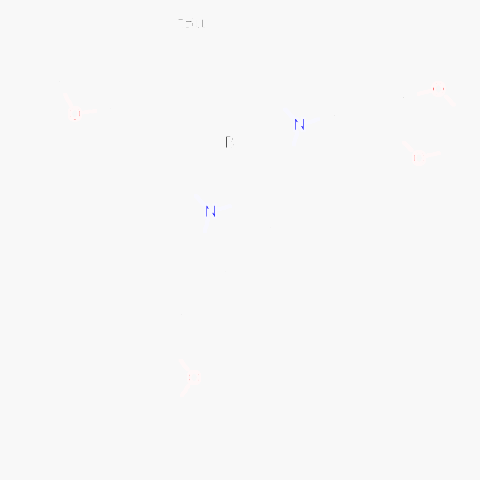 Cc1cc2c3c(c1)N(c1ccc4c(c1)OCCO4)c1ccc(C(C)(C)C)cc1B3c1cc(-c3cc4ccccc4o3)ccc1N2c1ccc(-c2cc3ccccc3o2)cc1